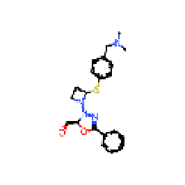 CN(C)Cc1ccc(SC2CCN2N2N=C(c3ccccc3)OC2C=O)cc1